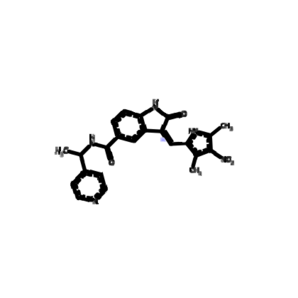 Cc1[nH]c(/C=C2\C(=O)Nc3ccc(C(=O)NC(C)c4ccncc4)cc32)c(C)c1[N+](=O)[O-]